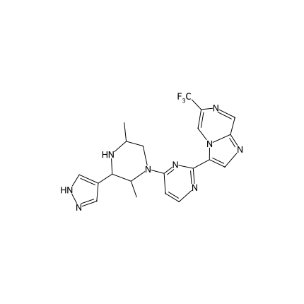 CC1CN(c2ccnc(-c3cnc4cnc(C(F)(F)F)cn34)n2)C(C)C(c2cn[nH]c2)N1